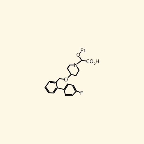 CCOC(C(=O)O)N1CCC(OCc2ccccc2-c2ccc(F)cc2)CC1